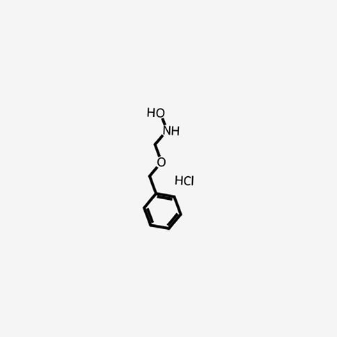 Cl.ONCOCc1ccccc1